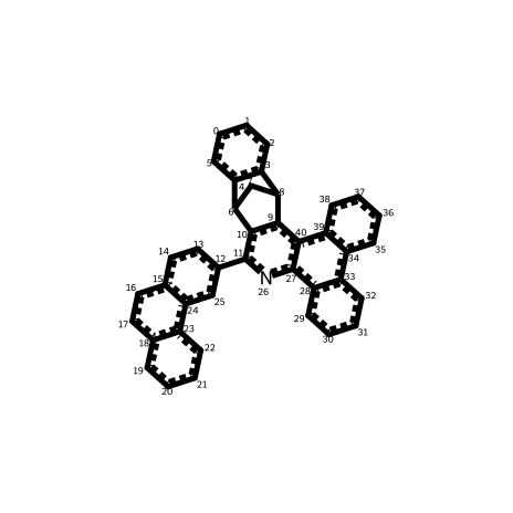 c1ccc2c(c1)C1CC2c2c1c(-c1ccc3ccc4ccccc4c3c1)nc1c3ccccc3c3ccccc3c21